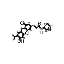 CC(C)c1cc(Cc2c(Cl)cc(SCC(=O)Nc3cnccn3)cc2Cl)ccc1O